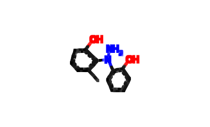 Cc1cccc(O)c1N(N)c1ccccc1O